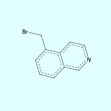 BrCc1cccc2cnccc12